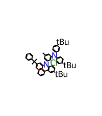 Cc1cc(N(c2ccc(C(C)(C)C)cc2)c2ccc(C(C)(C)C)cc2)c(Cl)c(N(c2cccc(C(C)(C)c3ccccc3)c2)c2ccc(C(C)(C)C)cc2-c2ccccc2)c1